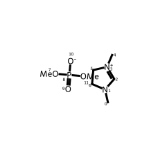 CN1C=[N+](C)CC1.COP(=O)([O-])OC